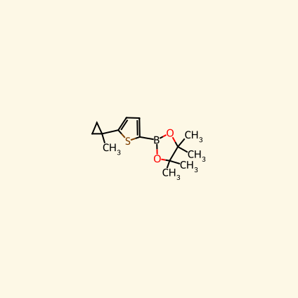 CC1(c2ccc(B3OC(C)(C)C(C)(C)O3)s2)CC1